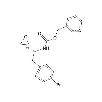 O=C(NC(Cc1ccc(Br)cc1)[C@@H]1CO1)OCc1ccccc1